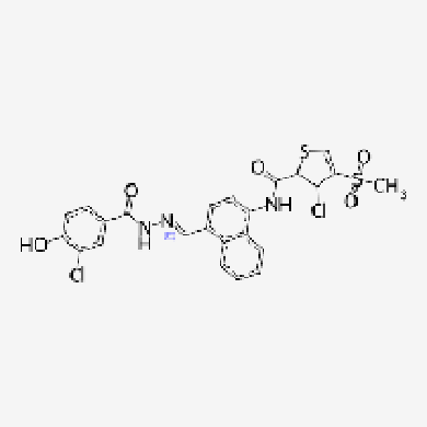 CS(=O)(=O)C1=CSC(C(=O)Nc2ccc(/C=N/NC(=O)c3ccc(O)c(Cl)c3)c3ccccc23)C1Cl